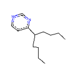 CCCCC(CCCC)c1ccncn1